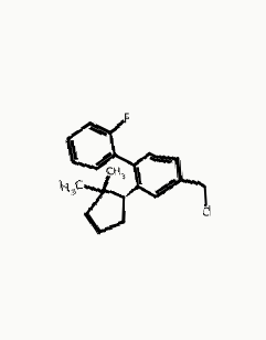 CC1(C)CCC[C@@H]1c1cc(CCl)ccc1-c1ccccc1F